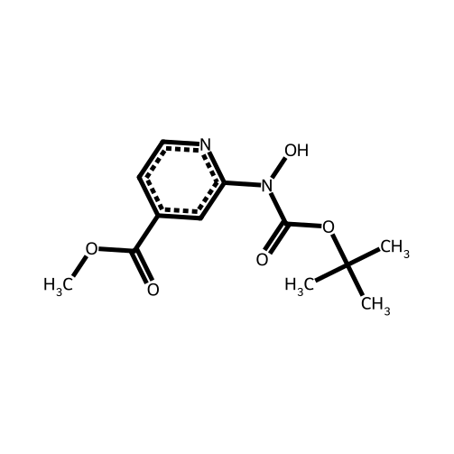 COC(=O)c1ccnc(N(O)C(=O)OC(C)(C)C)c1